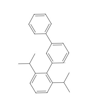 CC(C)c1cccc(C(C)C)c1-c1[c]ccc(-c2ccccc2)c1